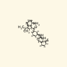 CC(C)c1cc(C(=O)c2cccc(NC(=O)Nc3c(F)cccc3F)c2)c2c(N)ncnn12